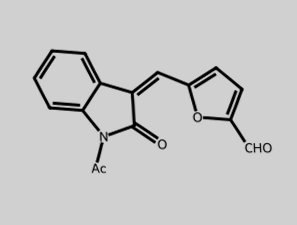 CC(=O)N1C(=O)C(=Cc2ccc(C=O)o2)c2ccccc21